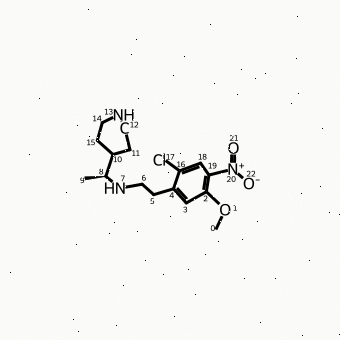 COc1cc(CCN[C@@H](C)C2CCNCC2)c(Cl)cc1[N+](=O)[O-]